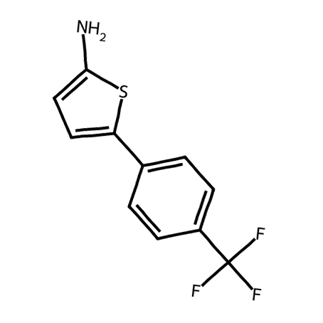 Nc1ccc(-c2ccc(C(F)(F)F)cc2)s1